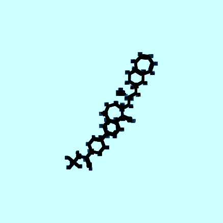 CC(C)(C)OC(=O)N1CC=C(c2ccc3c(c2)OCCN(C[C@H](O)CN2CCC4=C(C=CC#CC4)C2)C3=O)CC1